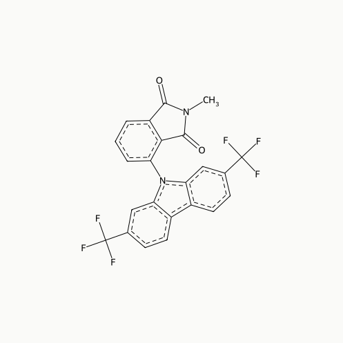 CN1C(=O)c2cccc(-n3c4cc(C(F)(F)F)ccc4c4ccc(C(F)(F)F)cc43)c2C1=O